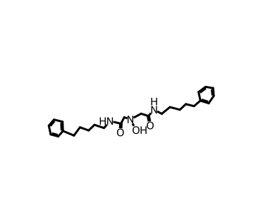 O=C(CN(O)CC(=O)NCCCCCc1ccccc1)NCCCCCc1ccccc1